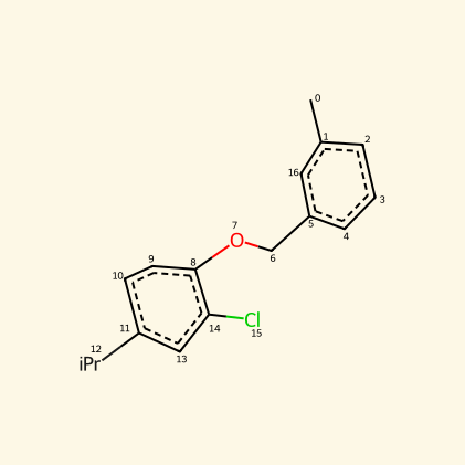 Cc1cccc(COc2ccc(C(C)C)cc2Cl)c1